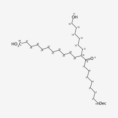 CCCCCCCCCCCCCCCCCC(=O)C(CCCCCCO)CCCCCCCCCCC(=O)O